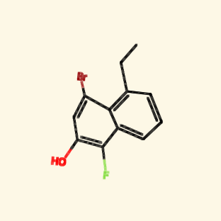 CCc1cccc2c(F)c(O)cc(Br)c12